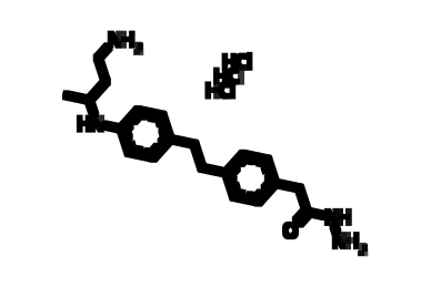 CC(CCN)Nc1ccc(CCc2ccc(CC(=O)NN)cc2)cc1.Cl.Cl.Cl